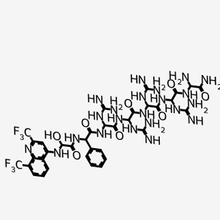 N=C(N)NC(NC(=O)C(NC(=N)N)NC(=O)C(NC(=N)N)NC(=O)C(NC(=N)N)NC(=O)C(NC(=O)C(O)Nc1cc(C(F)(F)F)nc2c(C(F)(F)F)cccc12)c1ccccc1)C(=O)NC(N)C(N)=O